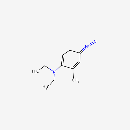 CCN(CC)C1=CCC(=[N+]=[N-])C=C1C